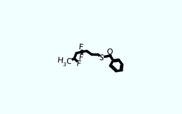 CC(F)CC(F)(F)CCCSC(=O)c1ccccc1